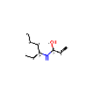 C=C[C@H](O)N[C@@H](CC)CCC